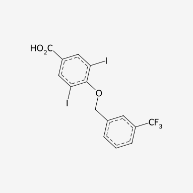 O=C(O)c1cc(I)c(OCc2cccc(C(F)(F)F)c2)c(I)c1